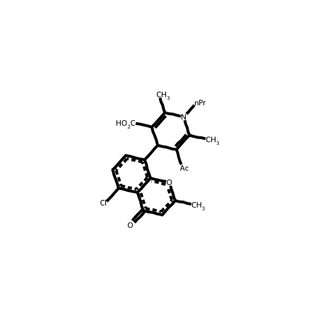 CCCN1C(C)=C(C(C)=O)C(c2ccc(Cl)c3c(=O)cc(C)oc23)C(C(=O)O)=C1C